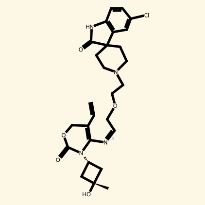 C=CC1=C(/N=C\COCCN2CCC3(CC2)C(=O)Nc2ccc(Cl)cc23)N([C@H]2C[C@@](C)(O)C2)C(=O)OC1